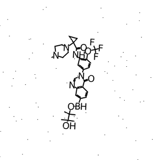 CN1CCN(C2(C(=O)Nc3cc(-n4cnc5cc(BOC(C)(C)C(C)(C)O)ccc5c4=O)ccc3OC(F)(F)F)CC2)CC1